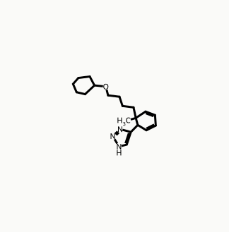 CC1(CCCCOC2CCCCC2)C=CC=CC1c1c[nH]nn1